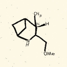 COCC1NC2CC(C2)[C@@H]1C